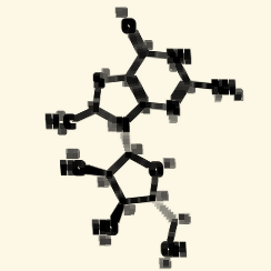 CC1Sc2c(nc(N)[nH]c2=O)N1[C@@H]1O[C@H](CO)[C@@H](O)[C@H]1O